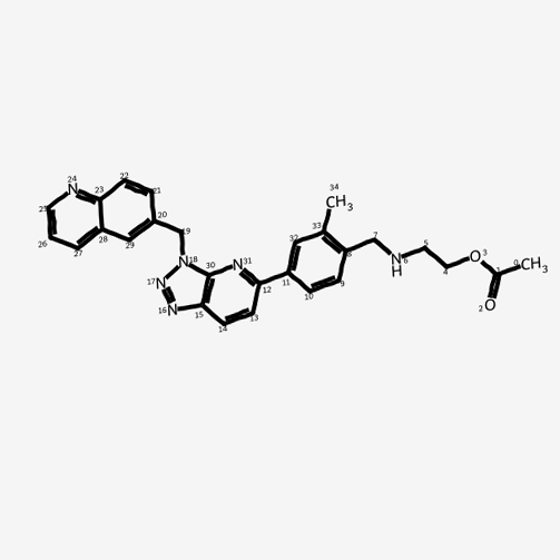 CC(=O)OCCNCc1ccc(-c2ccc3nnn(Cc4ccc5ncccc5c4)c3n2)cc1C